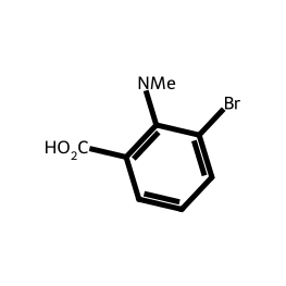 CNc1c(Br)cccc1C(=O)O